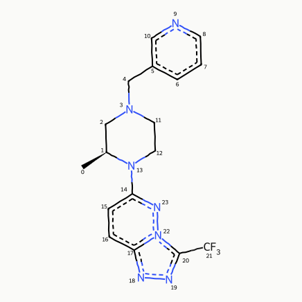 C[C@H]1CN(Cc2cccnc2)CCN1c1ccc2nnc(C(F)(F)F)n2n1